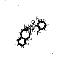 O=S(=O)(NC1C2CCC1Cc1ccccc1C2)c1c(F)cccc1F